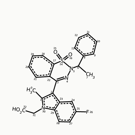 Cc1c(C2=NN(C(C)c3ccccc3)S(=O)(=O)c3ccccc32)c2cc(F)ccc2n1CC(=O)O